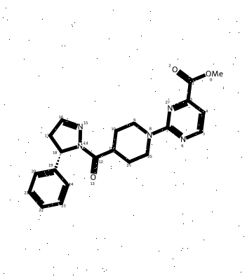 COC(=O)c1ccnc(N2CCC(C(=O)N3N=CC[C@H]3c3ccccc3)CC2)n1